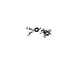 CC1=CC(=O)C(C)(C(C)(C)C(C)C(=O)Oc2ccc(N(CCCl)CCCl)cc2)C(C)C1=O